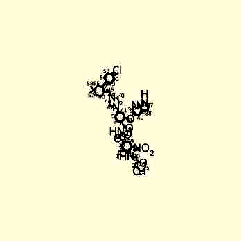 C[C@@H]1CN(c2ccc(C(=O)NS(=O)(=O)c3cc(F)c(NC[C@@H]4COCCO4)c([N+](=O)[O-])c3)c(Oc3cnc4[nH]ccc4c3)c2)CCN1CC1=C(c2ccc(Cl)cc2)CC(C)(C)CC1